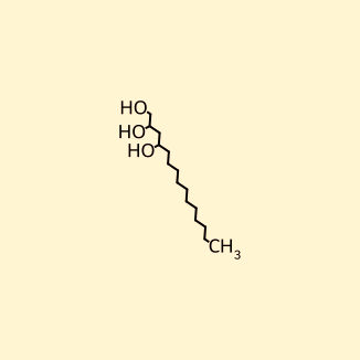 CCCCCCCCCCCC(O)CC(O)CO